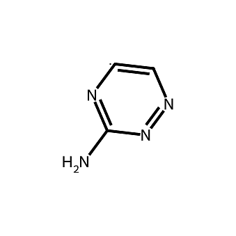 Nc1n[c]cnn1